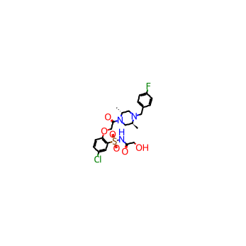 C[C@@H]1CN(Cc2ccc(F)cc2)[C@@H](C)CN1C(=O)COc1ccc(Cl)cc1S(=O)(=O)NC(=O)CO